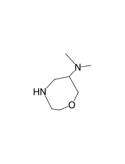 CN(C)C1CNCCOC1